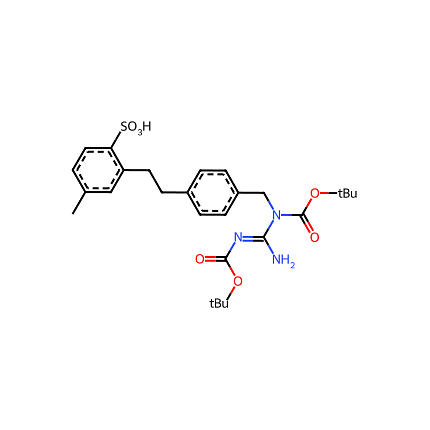 Cc1ccc(S(=O)(=O)O)c(CCc2ccc(CN(C(=O)OC(C)(C)C)C(N)=NC(=O)OC(C)(C)C)cc2)c1